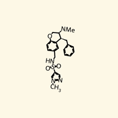 CN[C@@H]1COc2ccc(CNS(=O)(=O)c3cnn(C)c3)cc2[C@@H]1Cc1ccccc1